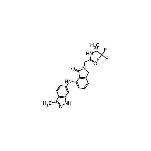 Cc1n[nH]c2cc(Nc3cccc4c3C(=O)N(CC(=O)N[C@@H](C)C(F)(F)F)C4)ccc12